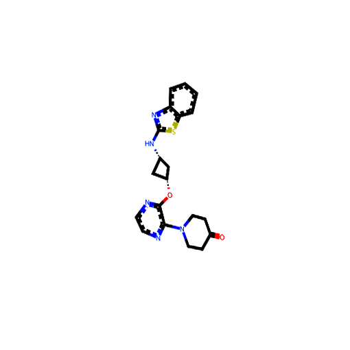 O=C1CCN(c2nccnc2O[C@H]2C[C@@H](Nc3nc4ccccc4s3)C2)CC1